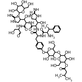 CC(C)CC(=O)OC1C(CO)OC(OC2C(CO)OC(Oc3ccc(CC(NC(=O)C(N)C(C)c4ccccc4)C(=O)NC(C(=O)NC(C(=O)NC([C]=O)CO)C(O)C4CNC(=N)N4C4OC(CO)C(O)C(O)C4O)C(O)C4CNC(=N)N4)cc3)C(O)C2O)C(O)C1O